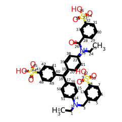 CCN(Cc1cccc(S(=O)(=O)O)c1)c1ccc(C(=C2C=CC(=[N+](CC)C([O-])c3cccc(S(=O)(=O)O)c3)C=C2)c2ccc(S(=O)(=O)O)cc2)cc1